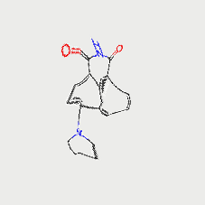 O=C1NC(=O)c2ccc(N3CCCC3)c3cccc1c23